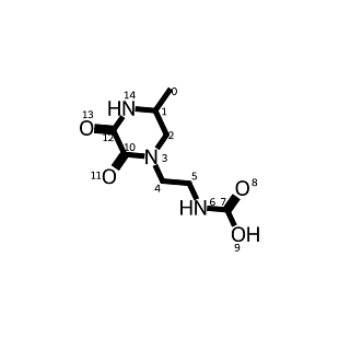 CC1CN(CCNC(=O)O)C(=O)C(=O)N1